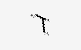 [CH2]CCCCCC(CC)CCCCCCCCCC